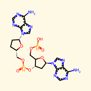 Nc1ncnc2c1ncn2[C@H]1C[C@H](O[PH](=O)OC[C@@H]2CC[C@H](n3cnc4c(N)ncnc43)O2)C(CO[PH](=O)O)O1